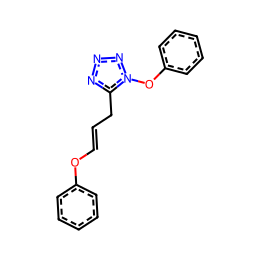 C(=COc1ccccc1)Cc1nnnn1Oc1ccccc1